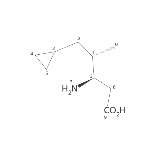 C[C@@H](CC1CC1)[C@H](N)CC(=O)O